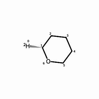 [2H][C@@H]1CCCCO1